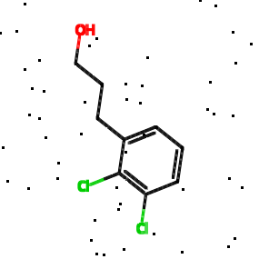 OCCCc1cccc(Cl)c1Cl